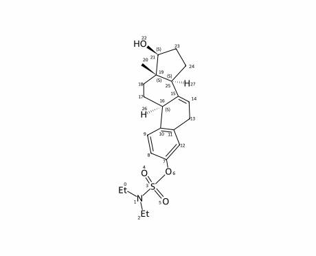 CCN(CC)S(=O)(=O)Oc1ccc2c(c1)CC=C1[C@@H]2CC[C@]2(C)[C@@H](O)CC[C@@H]12